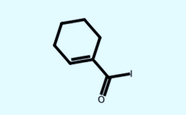 O=C(I)C1=CCCCC1